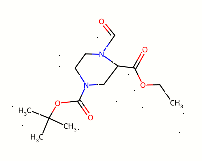 CCOC(=O)C1CN(C(=O)OC(C)(C)C)CCN1C=O